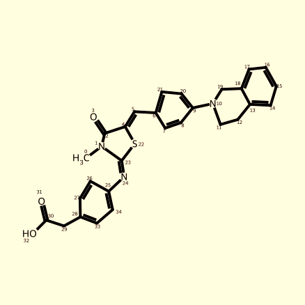 CN1C(=O)/C(=C/c2ccc(N3CCc4ccccc4C3)cc2)S/C1=N/c1ccc(CC(=O)O)cc1